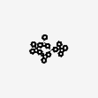 CC1(C)c2ccccc2-c2ccc(N(c3ccc(C4(c5ccccc5)c5ccccc5-c5ccccc54)cc3)c3ccc4c(c3)c3cc(C5(c6ccccc6)c6ccccc6-c6ccccc65)ccc3n4-c3ccccc3)cc21